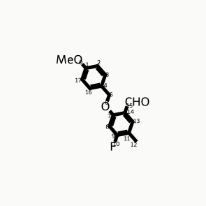 COc1ccc(COc2cc(F)c(C)cc2C=O)cc1